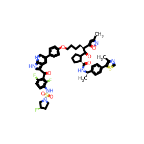 Cc1cc([C@H](CCCCOc2ccc(-c3cnc4[nH]cc(C(=O)c5c(F)ccc(NS(=O)(=O)N6CC[C@@H](F)C6)c5F)c4c3)cc2)C(=O)C2CCC[C@H]2C(=O)N[C@@H](C)c2ccc(-c3scnc3C)cc2)on1